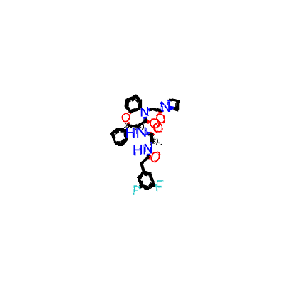 C[C@H](NC(=O)Cc1cc(F)cc(F)c1)C(=O)N[C@@H]1C(=O)N(CC(=O)N2CCC2)c2ccccc2O[C@@H]1c1ccccc1